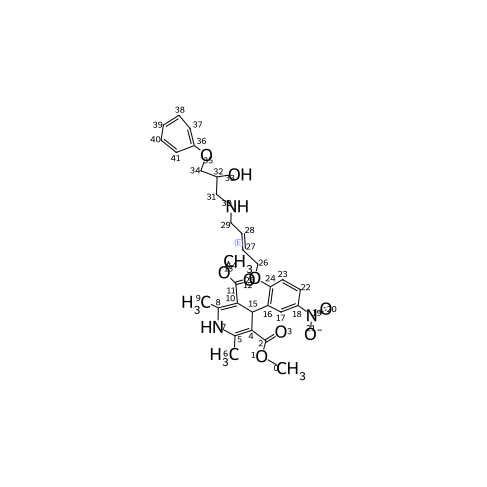 COC(=O)C1=C(C)NC(C)=C(C(=O)OC)C1c1cc([N+](=O)[O-])ccc1OC/C=C/CNCC(O)COc1ccccc1